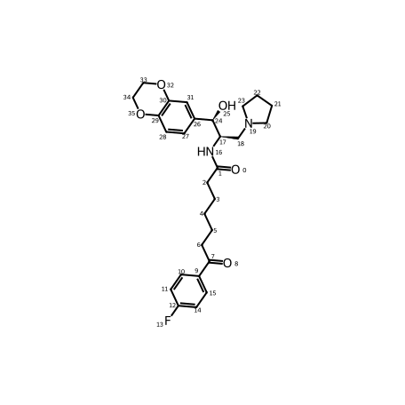 O=C(CCCCCC(=O)c1ccc(F)cc1)N[C@H](CN1CCCC1)[C@H](O)c1ccc2c(c1)OCCO2